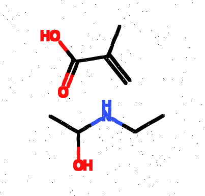 C=C(C)C(=O)O.CCNC(C)O